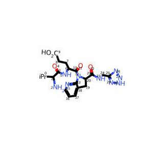 CC(C)C(N)C(=O)NC(CCC(=O)O)C(=O)N1c2ncccc2CC1C(=O)NCc1nn[nH]n1